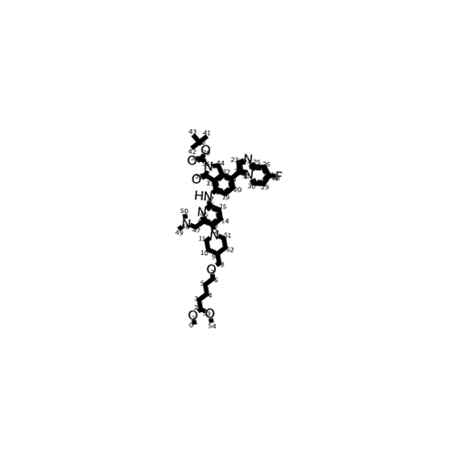 COC(CCCCOCC1CCN(c2ccc(Nc3ccc(-c4cnc5cc(F)ccn45)c4c3C(=O)N(C(=O)OC(C)(C)C)C4)nc2CN(C)C)CC1)OC